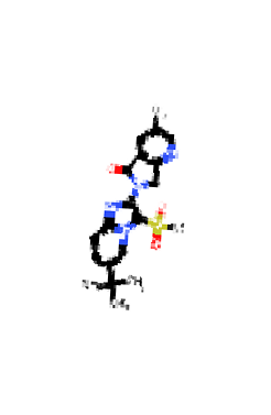 CCS(=O)(=O)c1c(N2Cc3ncc(C(F)(F)F)cc3C2=O)nc2ccc(C(C)(C)C#N)cn12